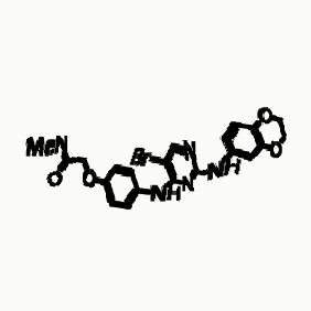 CNC(=O)COc1ccc(Nc2nc(Nc3ccc4c(c3)OCCO4)ncc2Br)cc1